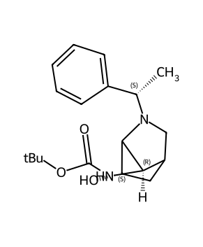 C[C@@H](c1ccccc1)N1CC2C[C@H](O)C1[C@@H]2NC(=O)OC(C)(C)C